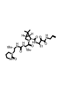 C=CCNC(=O)C(=O)C(CC)NC(=O)[C@@H]1[C@@H]2[C@H](CN1C(=O)[C@@H](NC(=O)N[C@H](CN1CCCNC1=O)C(C)(C)C)C(C)(C)C)C2(C)C